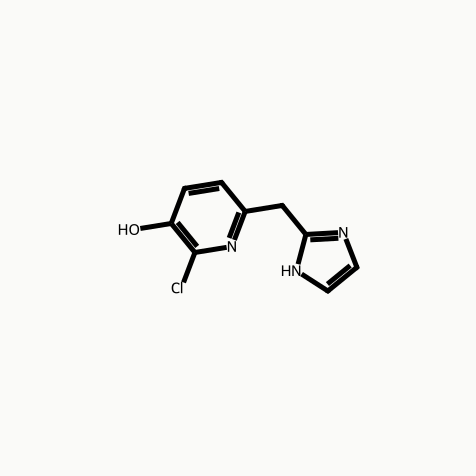 Oc1ccc(Cc2ncc[nH]2)nc1Cl